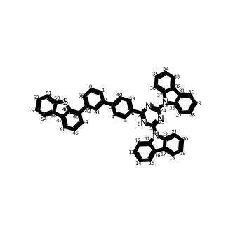 c1cc(-c2ccc(-c3nc(-n4c5ccccc5c5ccccc54)nc(-n4c5ccccc5c5ccccc54)n3)cc2)cc(-c2cccc3c2sc2ccccc23)c1